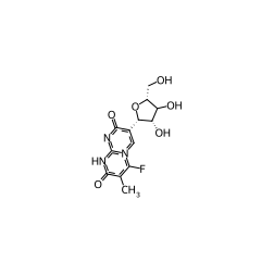 Cc1c(F)n2cc([C@@H]3O[C@H](CO)C(O)[C@@H]3O)c(=O)nc2[nH]c1=O